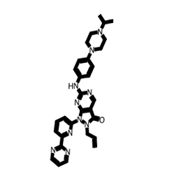 C=CCn1c(=O)c2cnc(Nc3ccc(N4CCN(C(C)C)CC4)cc3)nc2n1-c1cccc(-c2ncccn2)n1